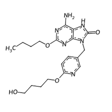 CCCCOc1nc(N)c2[nH]c(=O)n(Cc3ccc(OCCCCO)nc3)c2n1